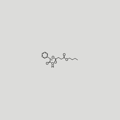 CCCCOC(=O)CCC(=O)O[C@H](C(=O)O)c1ccccc1